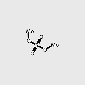 O=S(=O)([O][Mo])[O][Mo]